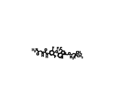 C[Si](C)(C)CCOCn1cc(C(F)(F)F)c2c(Oc3c(F)cc(NC(=O)NCC(N)=O)cc3F)ccnc21